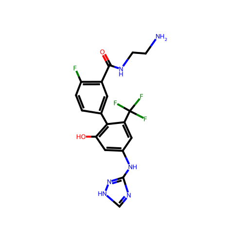 NCCNC(=O)c1cc(-c2c(O)cc(Nc3nc[nH]n3)cc2C(F)(F)F)ccc1F